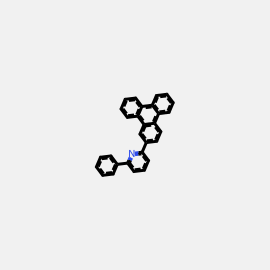 c1ccc(-c2cccc(-c3ccc4c5ccccc5c5ccccc5c4c3)n2)cc1